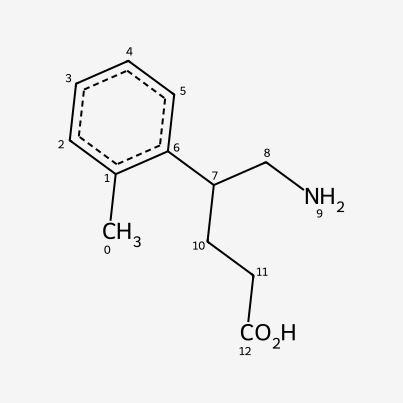 Cc1ccccc1C(CN)CCC(=O)O